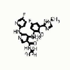 [2H]C([2H])([2H])NC(=O)c1cnc(Nc2ccc(F)cn2)cc1Nc1cc(F)cc(-c2ncn(C)n2)c1OC